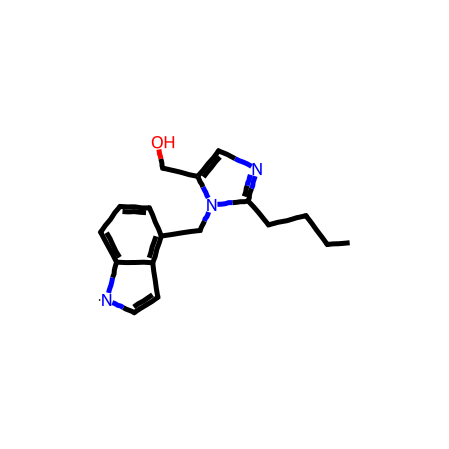 CCCCc1ncc(CO)n1Cc1cccc2c1C=C[N]2